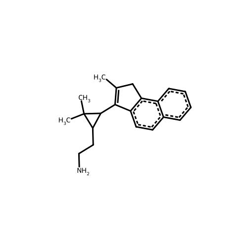 CC1=C(C2C(CCN)C2(C)C)c2ccc3ccccc3c2C1